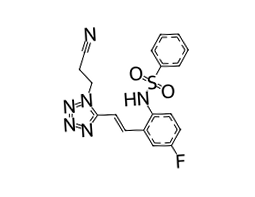 N#CCCn1nnnc1C=Cc1cc(F)ccc1NS(=O)(=O)c1ccccc1